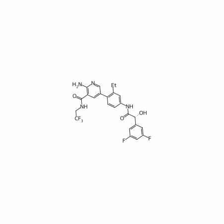 CCc1cc(NC(=O)[C@H](O)c2cc(F)cc(F)c2)ccc1-c1cnc(N)c(C(=O)NCC(F)(F)F)c1